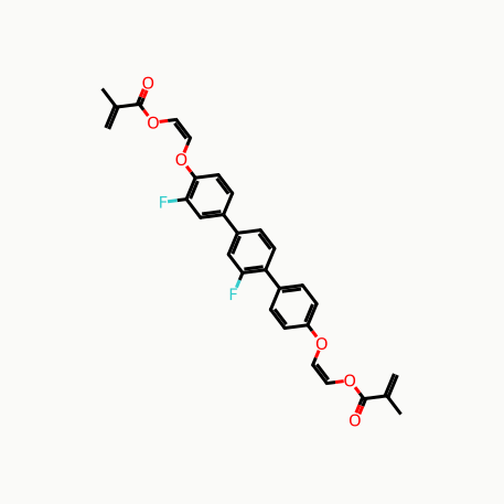 C=C(C)C(=O)O/C=C\Oc1ccc(-c2ccc(-c3ccc(O/C=C\OC(=O)C(=C)C)c(F)c3)cc2F)cc1